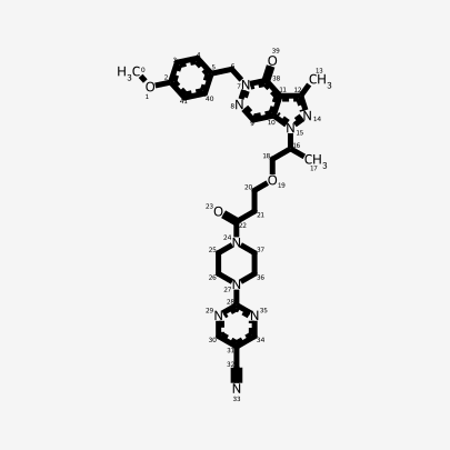 COc1ccc(Cn2ncc3c(c(C)nn3C(C)COCCC(=O)N3CCN(c4ncc(C#N)cn4)CC3)c2=O)cc1